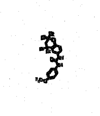 CCC1(CC)CC(CC)(CC)c2cc(NC(=O)Nc3ccc(OC(F)(F)F)cc3)ccc2O1